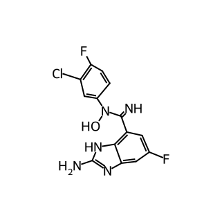 N=C(c1cc(F)cc2nc(N)[nH]c12)N(O)c1ccc(F)c(Cl)c1